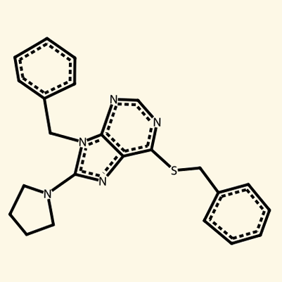 c1ccc(CSc2ncnc3c2nc(N2CCCC2)n3Cc2ccccc2)cc1